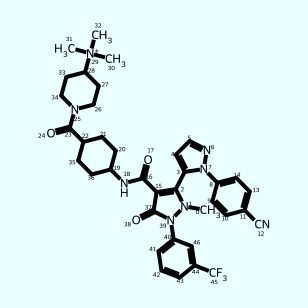 Cn1c(-c2ccnn2-c2ccc(C#N)cc2)c(C(=O)NC2CCC(C(=O)N3CCC([N+](C)(C)C)CC3)CC2)c(=O)n1-c1cccc(C(F)(F)F)c1